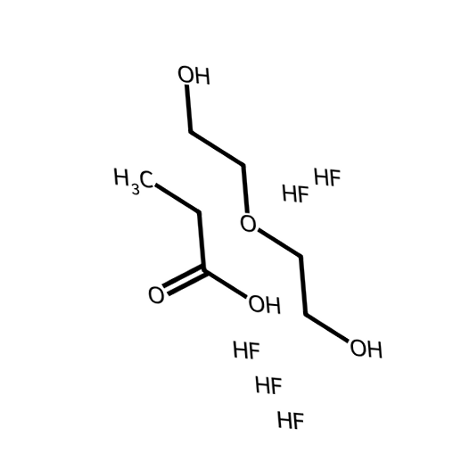 CCC(=O)O.F.F.F.F.F.OCCOCCO